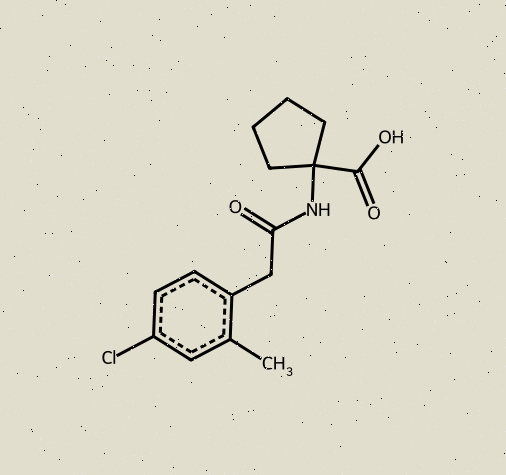 Cc1cc(Cl)ccc1CC(=O)NC1(C(=O)O)CCCC1